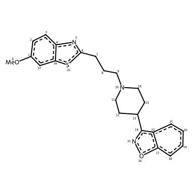 COc1ccc2nc(CCCN3CCC(c4noc5ccccc45)CC3)sc2c1